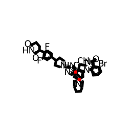 CC1(C)c2ccc(N3C4CCC3CN(Cc3cnc(N5CCC(c6cc(F)c(C7CCC(=O)NC7=O)c(F)c6)CC5)nc3)C4)cc2-n2c1nc(=O)c1c(Br)cccc12